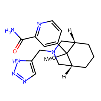 COC1(c2ccnc(C(N)=O)c2)[C@@H]2CCC[C@H]1CN(Cc1cnn[nH]1)C2